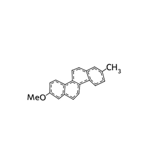 COc1ccc2c(ccc3c4ccc(C)cc4ccc23)c1